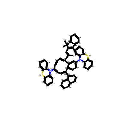 CC1=C(/C=C(\C)c2cccc(N3c4ccccc4Sc4ccccc43)ccc(-c3cccc4ccccc34)c3ccc(N4c5ccccc5Sc5ccccc54)cc23)C(C)(C)c2ccccc21